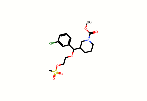 CC(C)(C)OC(=O)N1CCCC(C(OCCOS(C)(=O)=O)c2cccc(Cl)c2)C1